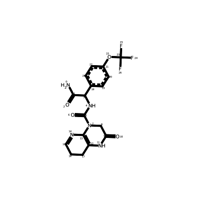 NC(=O)C(NC(=O)N1CC(=O)NC2=C1N=CCC2)c1ccc(OC(F)(F)F)cc1